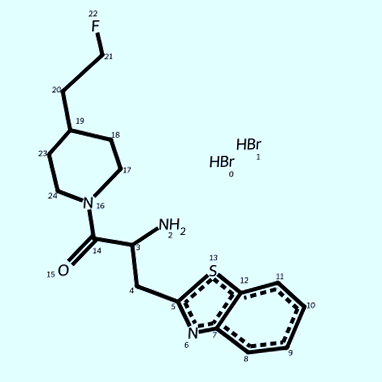 Br.Br.NC(Cc1nc2ccccc2s1)C(=O)N1CCC(CCF)CC1